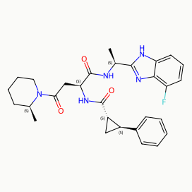 C[C@H](NC(=O)[C@H](CC(=O)N1CCCC[C@@H]1C)NC(=O)[C@H]1C[C@@H]1c1ccccc1)c1nc2c(F)cccc2[nH]1